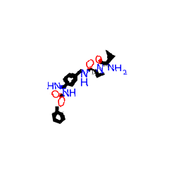 N=C(NC(=O)OCc1ccccc1)c1ccc(CNC(=O)[C@@H]2CCN2C(=O)[C@H](N)C2CC2)cc1